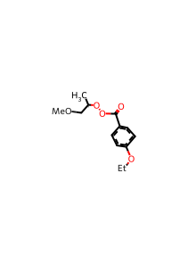 CCOc1ccc(C(=O)OO[C](C)COC)cc1